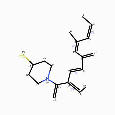 C=C(/C=C(C)\C=C/C)/C=C/C(=C\C)C(=C)N1CCC(S)CC1